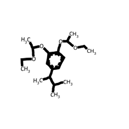 CCOC(C)Oc1ccc(C(C)C(C)C)cc1OC(C)OCC